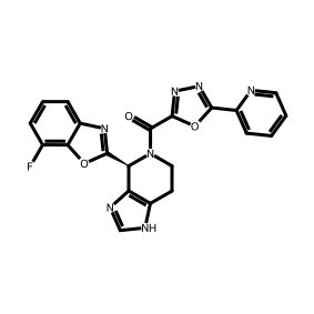 O=C(c1nnc(-c2ccccn2)o1)N1CCc2[nH]cnc2[C@H]1c1nc2cccc(F)c2o1